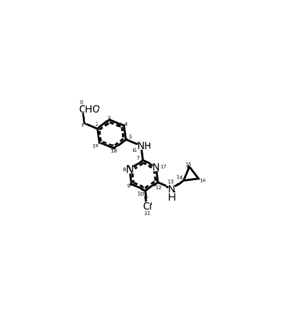 O=CCc1ccc(Nc2ncc(Cl)c(NC3CC3)n2)cc1